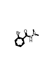 CN(C)NC(=O)c1ccccc1Br